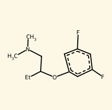 CCC(CN(C)C)Oc1cc(F)cc(F)c1